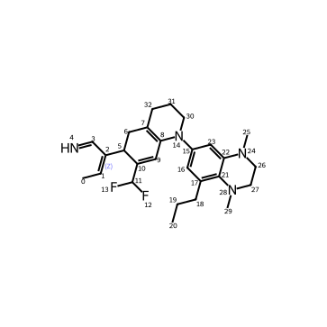 C/C=C(\C=N)C1CC2=C(C=C1C(F)F)N(c1cc(CCC)c3c(c1)N(C)CCN3C)CCC2